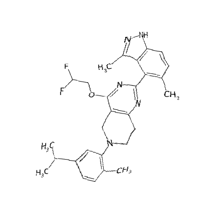 Cc1ccc(C(C)C)cc1N1CCc2nc(-c3c(C)ccc4[nH]nc(C)c34)nc(OCC(F)F)c2C1